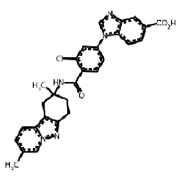 Cc1ccc2c3c(nn2c1)CCC(C)(NC(=O)c1ccc(-n2cnc4cc(C(=O)O)ccc42)cc1Cl)C3